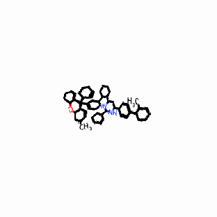 CC1CCC=CC1C1=CCC(C2CC(C3CCCCC3C3=CC(C4(C5C=CCCC5)C5=CCCCC5OC5C[C@H](C)C=CC54)=CCC3)NC(C3=CCCCC3)N2)C=C1